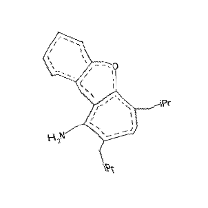 CC(C)c1cc(C(C)C)c2oc3ccccc3c2c1N